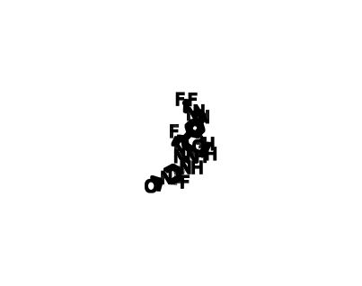 [2H]C([2H])([2H])Oc1nc(N[C@@H]2CCN(C3COC3)C[C@H]2F)nn2cc(F)c(-c3ccc4nnn(CC(F)F)c4c3)c12